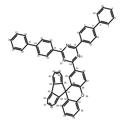 c1ccc(-c2ccc(-c3nc(-c4ccc(-c5ccccc5)cc4)nc(-c4ccc5c(c4)C4(c6ccccc6O5)c5ccccc5-c5ccccc54)n3)cc2)cc1